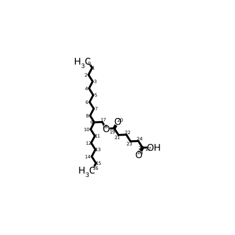 CCCCCCCCCC(CCCCCCC)COC(=O)CCCCC(=O)O